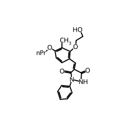 CCCOc1ccc(/C=C2/C(=O)NN(c3ccccc3)C2=O)c(OCCO)c1C